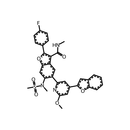 CNC(=O)c1c(-c2ccc(F)cc2)oc2cc(N(C)S(C)(=O)=O)c(-c3cc(-c4cc5ccccc5o4)cc(OC)n3)cc12